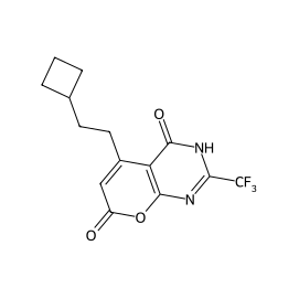 O=c1cc(CCC2CCC2)c2c(=O)[nH]c(C(F)(F)F)nc2o1